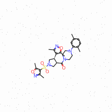 Cc1ccc(C)c(N2CCN(C(=O)C3CN(S(=O)(=O)c4c(C)noc4C)C[C@H]3c3c(C)noc3C)CC2)c1